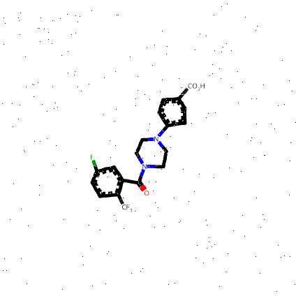 O=C(O)c1ccc(N2CCN(C(=O)c3cc(F)ccc3C(F)(F)F)CC2)cc1